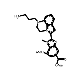 COC(=O)c1cc(OC)c2c(c1)nc(-c1cc3cccc4c3n1CCN4CCCN)n2C